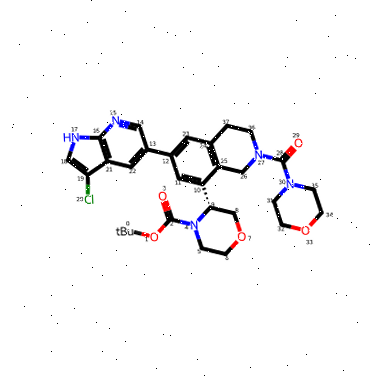 CC(C)(C)OC(=O)N1CCOC[C@H]1c1cc(-c2cnc3[nH]cc(Cl)c3c2)cc2c1CN(C(=O)N1CCOCC1)CC2